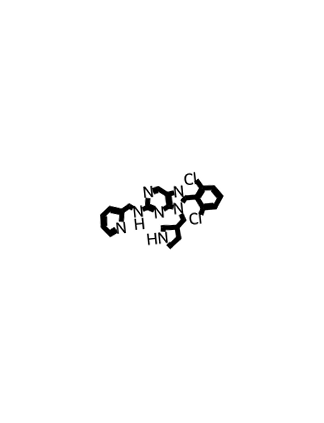 Clc1cccc(Cl)c1-c1nc2cnc(NCc3ccccn3)nc2n1CC1CCNC1